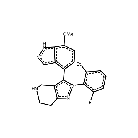 CCc1cccc(CC)c1-n1nc2c(c1-c1ccc(OC)c3[nH]ncc13)CNCC2